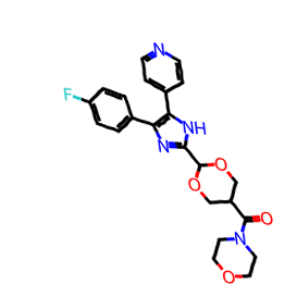 O=C(C1COC(c2nc(-c3ccc(F)cc3)c(-c3ccncc3)[nH]2)OC1)N1CCOCC1